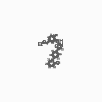 CCOCc1ccc(C)c(Nc2ncc(-c3ccc(-n4ccccc4=O)cc3)o2)c1